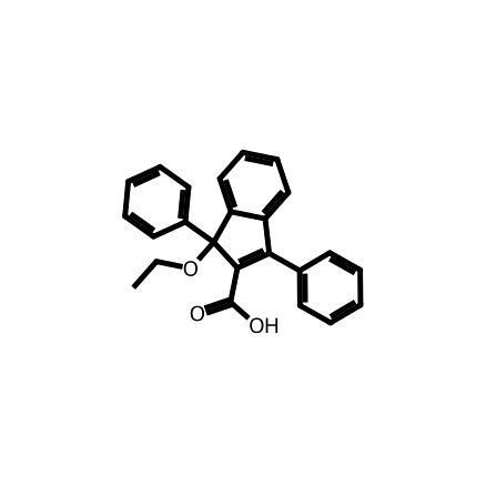 CCOC1(c2ccccc2)C(C(=O)O)=C(c2ccccc2)c2ccccc21